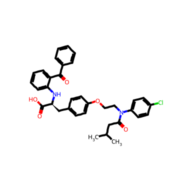 CC(C)CC(=O)N(CCOc1ccc(C[C@H](Nc2ccccc2C(=O)c2ccccc2)C(=O)O)cc1)c1ccc(Cl)cc1